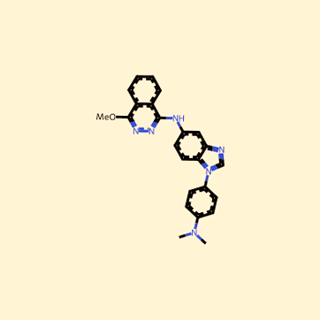 COc1nnc(Nc2ccc3c(c2)ncn3-c2ccc(N(C)C)cc2)c2ccccc12